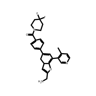 Cc1ccncc1C1=C2OC(CN)=CC2CC(c2ccc(C(=O)N3CCC(F)(F)CC3)cc2)=C1